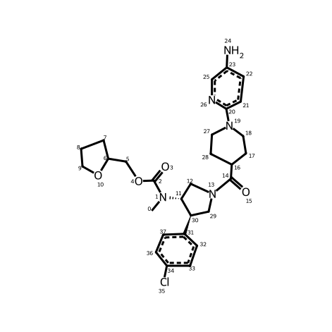 CN(C(=O)OCC1CCCO1)[C@@H]1CN(C(=O)C2CCN(c3ccc(N)cn3)CC2)C[C@H]1c1ccc(Cl)cc1